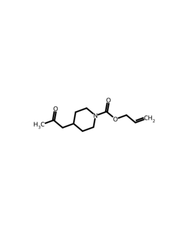 C=CCOC(=O)N1CCC(CC(C)=O)CC1